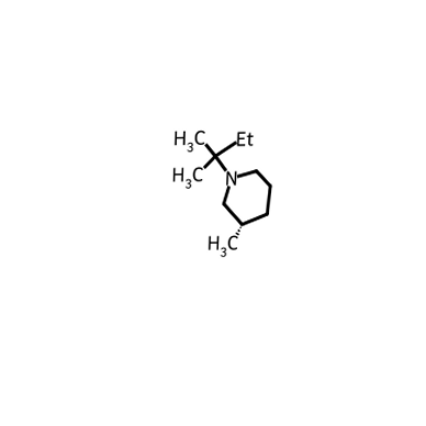 CCC(C)(C)N1CCC[C@H](C)C1